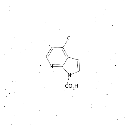 O=C(O)n1ccc2c(Cl)ccnc21